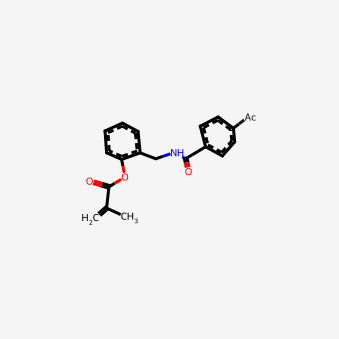 C=C(C)C(=O)Oc1ccccc1CNC(=O)c1ccc(C(C)=O)cc1